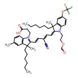 CCCCCCC1(C)C(/C=C/C(C#N)=C/C=C2/N(CCOC=O)c3ccc(OC(F)(F)F)cc3C2(C)CCCCCC)=[N+](CCC(=O)O)c2ccc(C)cc21